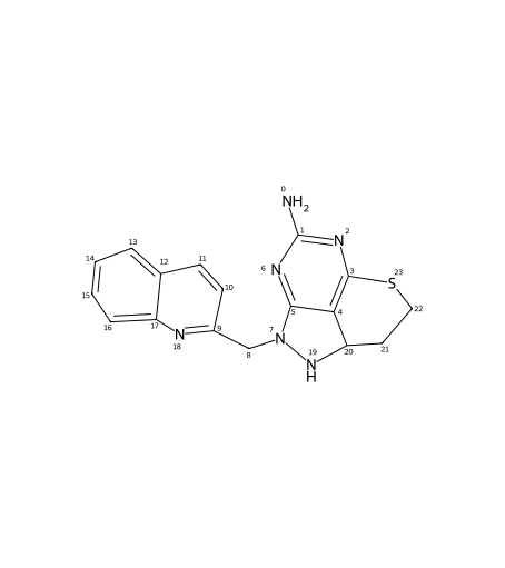 Nc1nc2c3c(n1)N(Cc1ccc4ccccc4n1)NC3CCS2